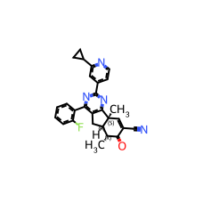 C[C@H]1C(=O)C(C#N)=C[C@@]2(C)c3nc(-c4ccnc(C5CC5)c4)nc(-c4ccccc4F)c3C[C@H]12